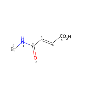 [CH2]CNC(=O)C=CC(=O)O